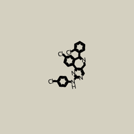 Clc1ccc(Nc2ncc3c(n2)-c2ccc(Cl)cc2C(c2ccccc2Cl)=NC3)cc1